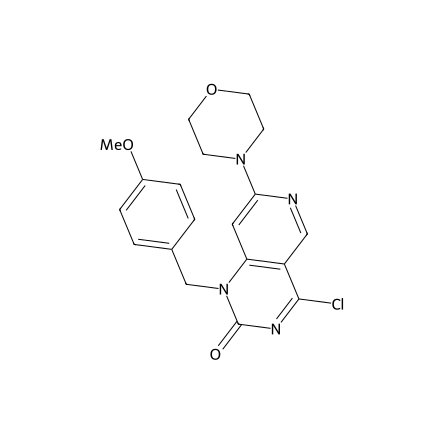 COc1ccc(Cn2c(=O)nc(Cl)c3cnc(N4CCOCC4)cc32)cc1